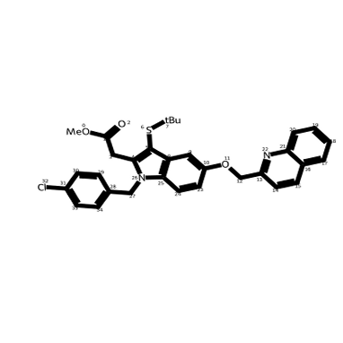 COC(=O)Cc1c(SC(C)(C)C)c2cc(OCc3ccc4ccccc4n3)ccc2n1Cc1ccc(Cl)cc1